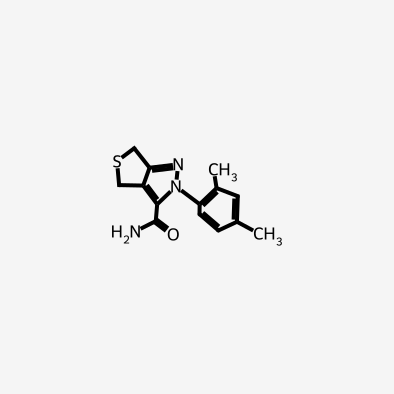 Cc1ccc(-n2nc3c(c2C(N)=O)CSC3)c(C)c1